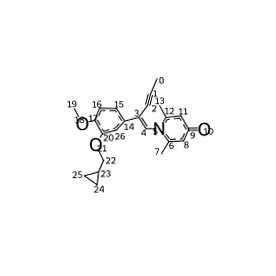 CC#CC(=Cn1c(C)cc(=O)cc1C)c1ccc(OC)c(OCC2CC2)c1